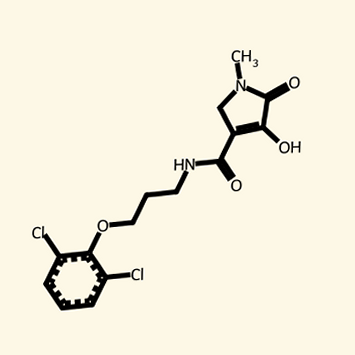 CN1CC(C(=O)NCCCOc2c(Cl)cccc2Cl)=C(O)C1=O